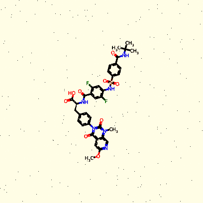 COc1cc2c(=O)n(-c3ccc(C[C@H](NC(=O)c4cc(F)c(NS(=O)(=O)c5ccc(C(=O)NC(C)(C)C)cc5)cc4F)C(=O)O)cc3)c(=O)n(C)c2cn1